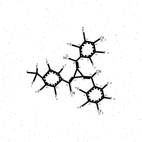 CC(F)(F)c1c(F)c(F)c(/C(C#N)=C2/C(=C(C#N)c3c(F)c(F)c(C(F)(F)F)c(F)c3F)/C2=C(/C#N)c2c(F)c(F)c(C(F)(F)F)c(F)c2F)c(F)c1F